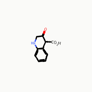 O=C(O)C1C(=O)CNc2ccccc21